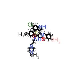 Bc1ccc(CN2C(=O)C[C@@](Sc3ccc(C)cc3)(C(=O)NCCCN3CCN(C)CC3)[C@@H]2c2c[nH]c3cc(Cl)ccc23)cc1